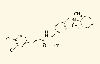 C[N+](C)(Cc1ccc(CNC(=O)/C=C/c2ccc(Cl)c(Cl)c2)cc1)C1CCOCC1.[Cl-]